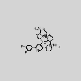 Nc1ncnc2c1ncn2Cc1cc(-c2ccc(F)c(F)c2)ncc1N1CCC[C@](N)(c2ccc[nH]c2=O)C1